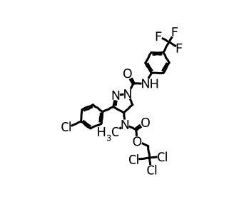 CN(C(=O)OCC(Cl)(Cl)Cl)C1CN(C(=O)Nc2ccc(C(F)(F)F)cc2)N=C1c1ccc(Cl)cc1